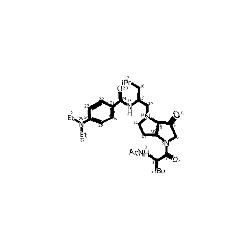 CCC(C)C(NC(C)=O)C(=O)N1CC(=O)C2C1CCN2CC(CC(C)C)NC(=O)c1ccc(N(CC)CC)cc1